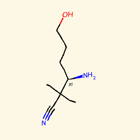 CC(C)(C#N)[C@H](N)CCCO